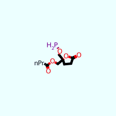 CCCC(=O)OCC1(COP)CCC(=O)O1